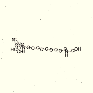 C[N+](C)=c1ccc2nc3c(C(=O)NCCOCCOCCOCCOCCOCCOCCOCCOCCC(=O)NCCc4ccc(O)cc4)cc(O)c(O)c3oc-2c1